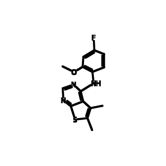 COc1cc(F)ccc1Nc1ncnc2sc(C)c(C)c12